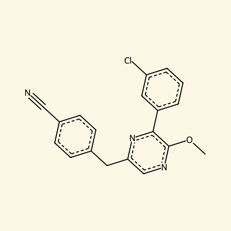 COc1ncc(Cc2ccc(C#N)cc2)nc1-c1cccc(Cl)c1